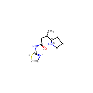 CSC(CC(=O)Nc1nccs1)C1CCCN1